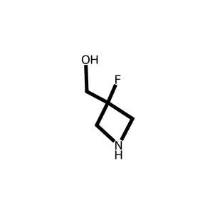 OCC1(F)CNC1